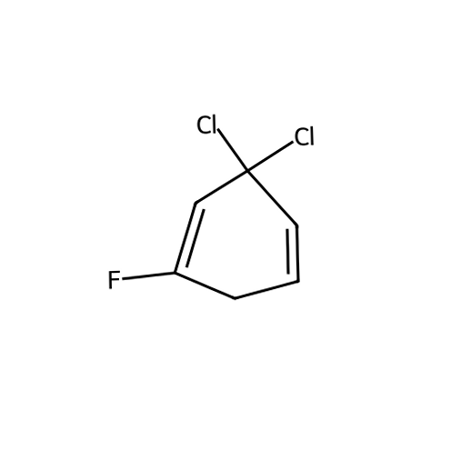 FC1=CC(Cl)(Cl)C=CC1